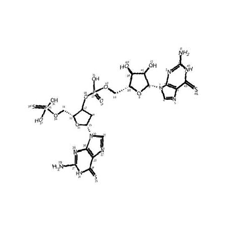 Nc1nc2c(ncn2[C@@H]2O[C@H](COP(=O)(O)OC3C[C@H](n4cnc5c(=S)[nH]c(N)nc54)O[C@@H]3COP(O)(O)=S)C(O)C2O)c(=S)[nH]1